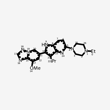 CCN1CCN(c2ccc3[nH]c(-c4cc(OC)c5ncnn5c4)c(C(C)C)c3n2)CC1